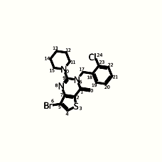 C=C1c2scc(Br)c2N=C(N2CCCCC2)N1Cc1ccccc1Cl